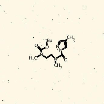 Cc1cnn(C(=O)N(C)CCN(C)C(=O)OC(C)(C)C)c1